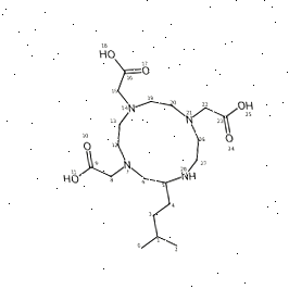 CC(C)CCC1CN(CC(=O)O)CCN(CC(=O)O)CCN(CC(=O)O)CCN1